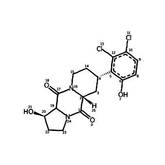 O=C1[C@H]2C[C@@H](c3c(O)ccc(Cl)c3Cl)CCN2C(=O)C2[C@H](O)CCN12